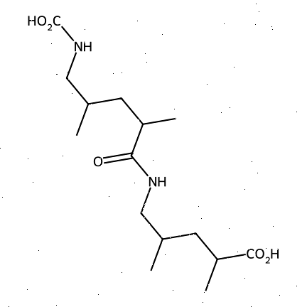 CC(CNC(=O)C(C)CC(C)CNC(=O)O)CC(C)C(=O)O